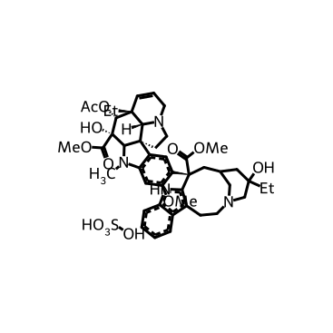 CCC1(O)CC2CN(CCc3c([nH]c4ccccc34)[C@@](C(=O)OC)(c3cc4c(cc3OC)N(C)C3[C@]45CCN4CC=C[C@@](CC)([C@@H](OC(C)=O)[C@]3(O)C(=O)OC)[C@H]45)C2)C1.O=S(=O)(O)O